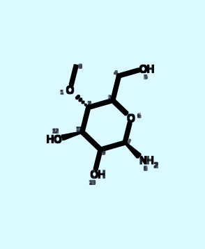 CO[C@@H]1C(CO)O[C@@H](N)C(O)[C@H]1O